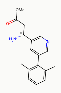 COC(=O)C[C@@H](N)c1cncc(-c2c(C)cccc2C)c1